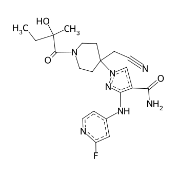 CCC(C)(O)C(=O)N1CCC(CC#N)(n2cc(C(N)=O)c(Nc3ccnc(F)c3)n2)CC1